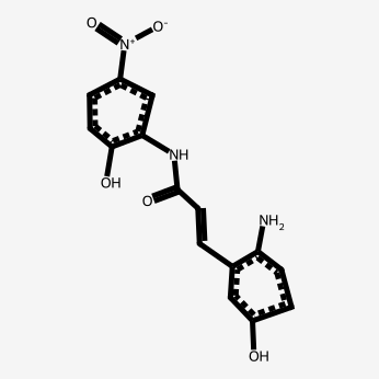 Nc1ccc(O)cc1C=CC(=O)Nc1cc([N+](=O)[O-])ccc1O